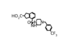 N=S(=O)(c1cccc2c1CC(C(=O)O)C2)N1CCN(Cc2ccc(C(F)(F)F)cc2)CC1